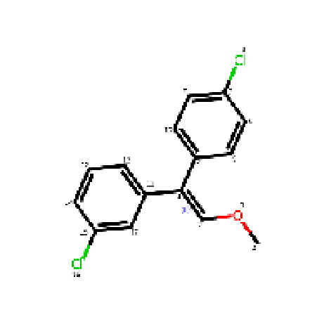 CO/C=C(\c1ccc(Cl)cc1)c1cccc(Cl)c1